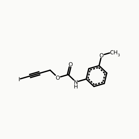 COc1cccc(NC(=O)OCC#CI)c1